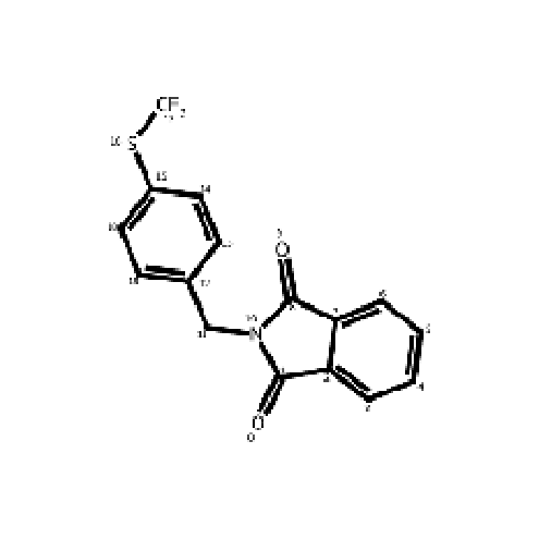 O=C1c2ccccc2C(=O)N1Cc1ccc(SC(F)(F)F)cc1